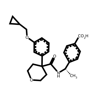 C[C@H](NC(=O)C1(c2cccc(OCC3CC3)c2)CCOCC1)c1ccc(C(=O)O)cc1